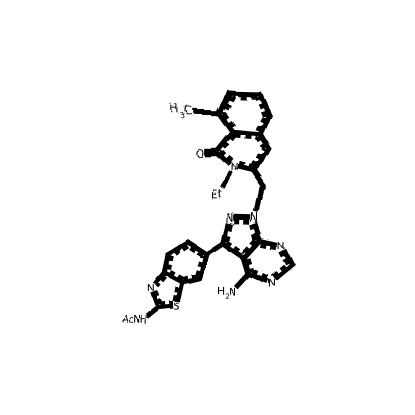 CCn1c(Cn2nc(-c3ccc4nc(NC(C)=O)sc4c3)c3c(N)ncnc32)cc2cccc(C)c2c1=O